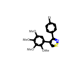 CCc1ccc(-c2nscc2-c2cc(OC)c(OC)c(OC)c2OC)cc1